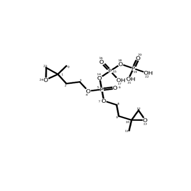 CC1(CCOP(=O)(OCCC2(C)CO2)OP(=O)(O)OP(=O)(O)O)CO1